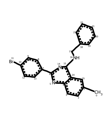 Cc1ccc2nc(-c3ccc(Br)cc3)nc(NCc3ccccc3)c2c1